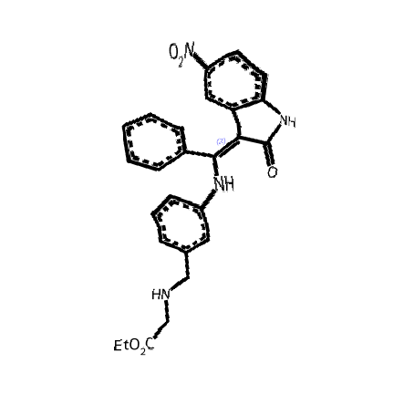 CCOC(=O)CNCc1cccc(N/C(=C2\C(=O)Nc3ccc([N+](=O)[O-])cc32)c2ccccc2)c1